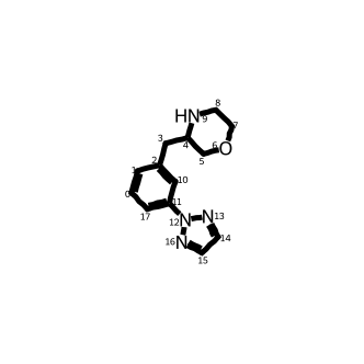 c1cc(CC2COCCN2)cc(-n2nccn2)c1